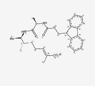 CC[C@H](C)[C@@H](NC(=O)[C@@H](C)NC(=O)OCC1c2ccccc2-c2ccccc21)[C@@H](C)CC/C=C(\C)C(=O)O